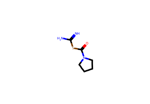 N=C(N)SC(=O)N1CCCC1